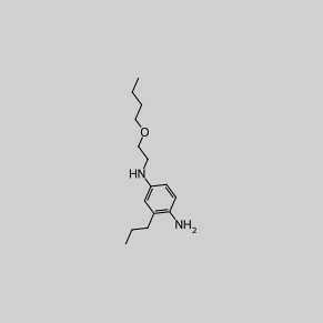 CCCCOCCNc1ccc(N)c(CCC)c1